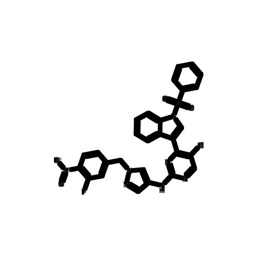 O=[N+]([O-])c1ccc(Cn2cc(Nc3ncc(Cl)c(-c4cn(S(=O)(=O)c5ccccc5)c5ccccc45)n3)cn2)cc1F